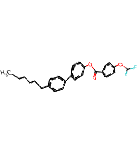 CCCCCCc1ccc(-c2ccc(OC(=O)c3ccc(OC(F)F)cc3)cc2)cc1